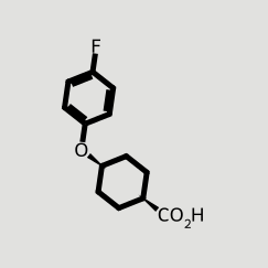 O=C(O)[C@H]1CC[C@@H](Oc2ccc(F)cc2)CC1